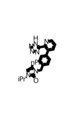 CCCc1cn(C(C)C)c(=O)n1Cc1ccc(-c2cccnc2-c2nnn[nH]2)cc1